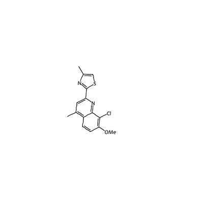 COc1ccc2c(C)cc(-c3nc(C)cs3)nc2c1Cl